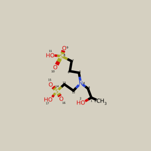 CC(O)CN(CCCS(=O)(=O)O)CCS(=O)(=O)O